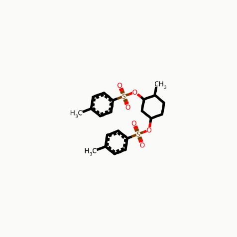 Cc1ccc(S(=O)(=O)OC2CCC(C)C(OS(=O)(=O)c3ccc(C)cc3)C2)cc1